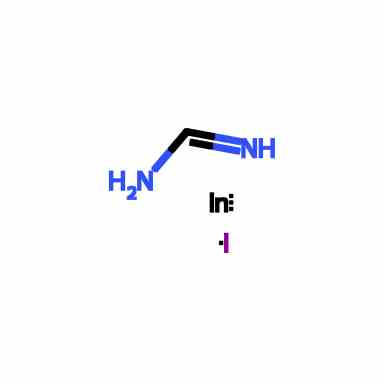 N=CN.[I].[In]